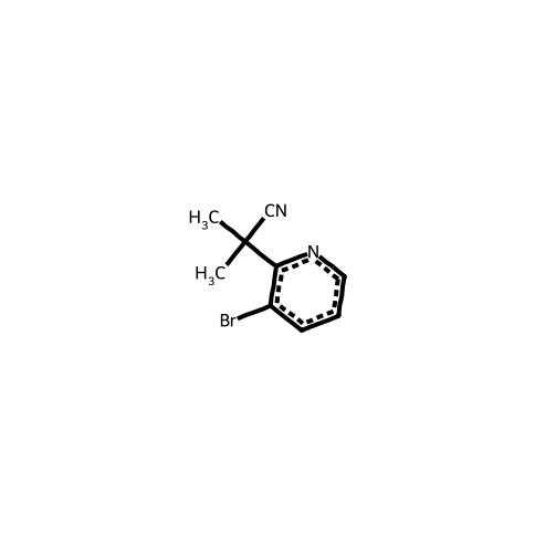 CC(C)(C#N)c1ncccc1Br